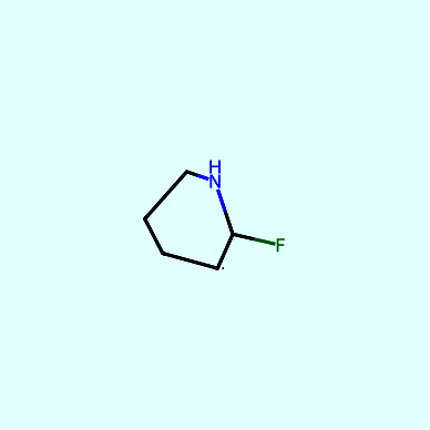 FC1[CH]CCCN1